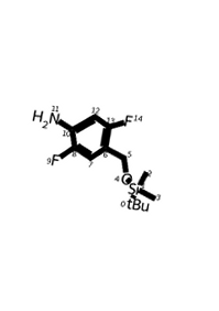 CC(C)(C)[Si](C)(C)OCc1cc(F)c(N)cc1F